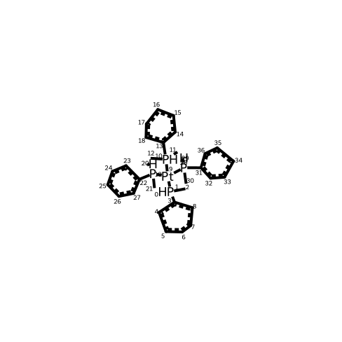 C[PH](C)(c1ccccc1)[Pt]([PH](C)(C)c1ccccc1)([PH](C)(C)c1ccccc1)[PH](C)(C)c1ccccc1